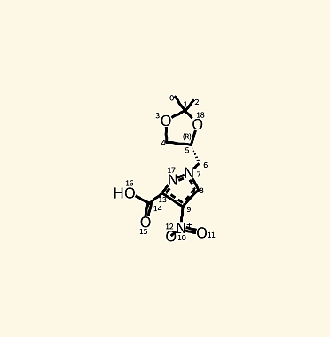 CC1(C)OC[C@@H](Cn2cc([N+](=O)[O-])c(C(=O)O)n2)O1